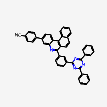 N#Cc1ccc(-c2ccc3c(c2)nc(-c2cccc(-c4nc(-c5ccccc5)nc(-c5ccccc5)n4)c2)c2ccc4ccccc4c23)cc1